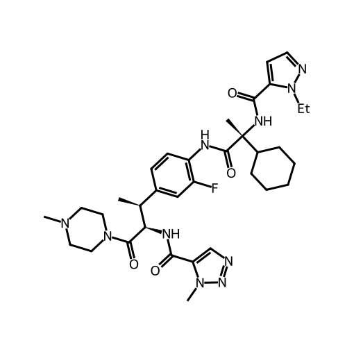 CCn1nccc1C(=O)N[C@@](C)(C(=O)Nc1ccc([C@H](C)[C@@H](NC(=O)c2cnnn2C)C(=O)N2CCN(C)CC2)cc1F)C1CCCCC1